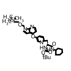 CC(C)(C)OC(=O)N[C@@H](Cc1ccc(Oc2ccnc3c2ccn3COCC[Si](C)(C)C)cn1)C(=O)NC1CCCCC1